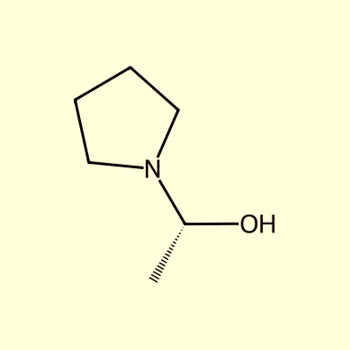 C[C@@H](O)N1CCCC1